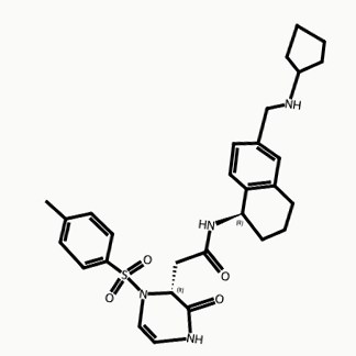 Cc1ccc(S(=O)(=O)N2C=CNC(=O)[C@H]2CC(=O)N[C@@H]2CCCc3cc(CNC4CCCC4)ccc32)cc1